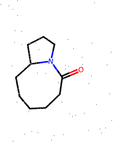 O=C1CCCCCC2CCCN12